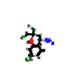 N[C@H]1CC(CF)(CF)Oc2cc(Cl)ccc21